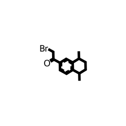 CC1CCC(C)c2cc(C(=O)CBr)ccc21